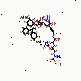 COc1ccc(C(C[C@]23CO[C@@H](C2O)[C@H](n2cc(C#CCNC(=O)C(CCCCNC(=O)C(F)(F)F)NC(=O)C(F)(F)F)c(=O)[nH]c2=O)O3)(c2ccccc2)c2ccc(OC)cc2)cc1